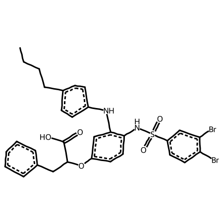 CCCCc1ccc(Nc2cc(OC(Cc3ccccc3)C(=O)O)ccc2NS(=O)(=O)c2ccc(Br)c(Br)c2)cc1